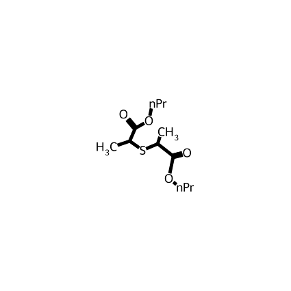 CCCOC(=O)C(C)SC(C)C(=O)OCCC